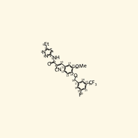 CCc1nnc(NC(=O)/C(C#N)=C/c2ccc(OCc3cc(F)cc(C(F)(F)F)c3)c(OC)c2)s1